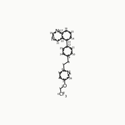 FC(F)(F)COc1ccc(CCc2ccc(-c3cccc4ncncc34)cc2)nc1